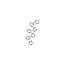 c1ccc2c(c1)c1c(ccc3c1c1cccc4c5ccccc5n3c41)c1ccc3c(c4cccc5c6ccccc6n3c54)c21